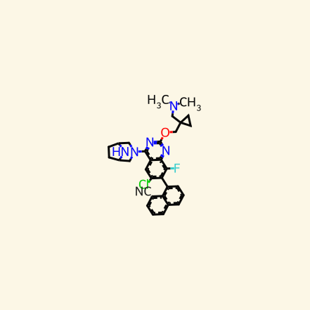 CN(C)CC1(COc2nc(N3CC4CCC(C3)N4)c3cc(Cl)c(-c4cccc5cccc(C#N)c45)c(F)c3n2)CC1